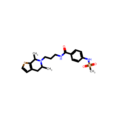 CC1Cc2ccsc2C(C)N1CCCNC(=O)c1ccc(NS(C)(=O)=O)cc1